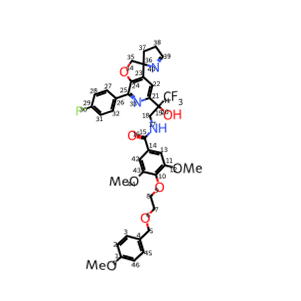 COc1ccc(COCCOc2c(OC)cc(C(=O)NCC(O)(c3cc4c(c(-c5ccc(F)cc5)n3)OCC43CCC=N3)C(F)(F)F)cc2OC)cc1